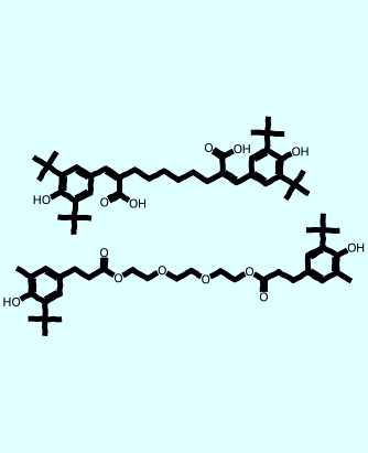 CC(C)(C)c1cc(C=C(CCCCCCC(=Cc2cc(C(C)(C)C)c(O)c(C(C)(C)C)c2)C(=O)O)C(=O)O)cc(C(C)(C)C)c1O.Cc1cc(CCC(=O)OCCOCCOCCOC(=O)CCc2cc(C)c(O)c(C(C)(C)C)c2)cc(C(C)(C)C)c1O